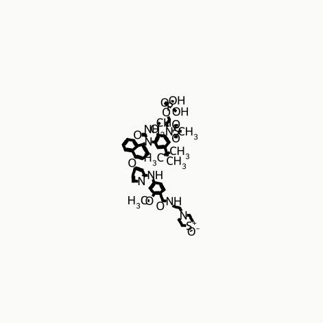 COc1cc(Nc2cc(Oc3ccc(N(C(N)=O)c4cc(C(C)(C)C)cc(N(CCOP(=O)(O)O)S(C)(=O)=O)c4OC)c4ccccc34)ccn2)ccc1C(=O)NCCN1CC[S+]([O-])CC1